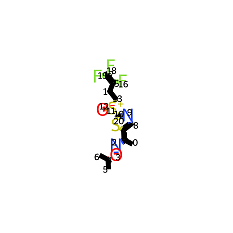 C/C(=N\OC(C)C)c1cnc([S+]([O-])CCC(F)=C(F)F)s1